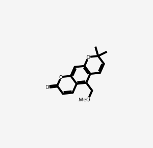 COCc1c2c(cc3oc(=O)ccc13)OC(C)(C)C=C2